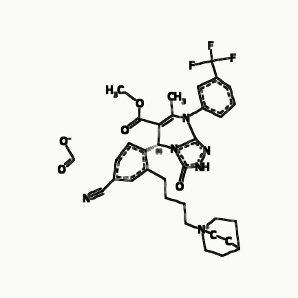 COC(=O)C1=C(C)N(c2cccc(C(F)(F)F)c2)c2n[nH]c(=O)n2[C@@H]1c1ccc(C#N)cc1CCCC[N+]12CCC(CC1)CC2.O=C[O-]